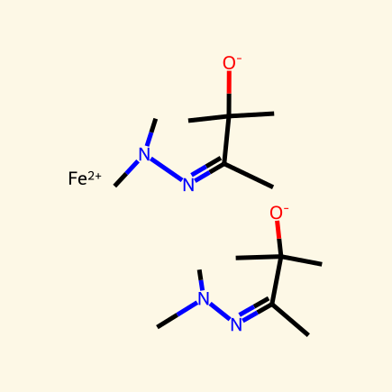 CC(=NN(C)C)C(C)(C)[O-].CC(=NN(C)C)C(C)(C)[O-].[Fe+2]